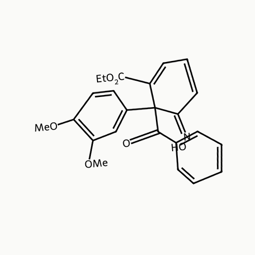 CCOC(=O)C1=CC=CC(=NO)C1(C(=O)c1ccccc1)c1ccc(OC)c(OC)c1